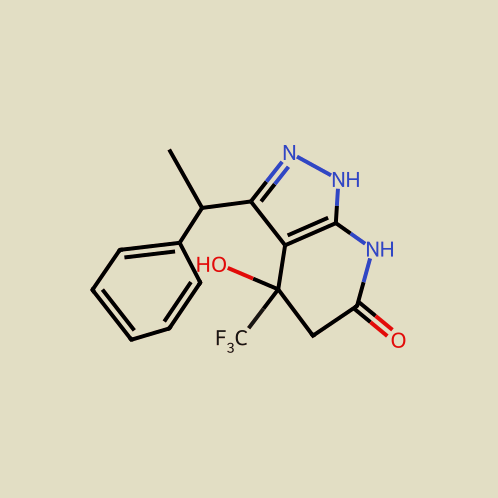 CC(c1ccccc1)c1n[nH]c2c1C(O)(C(F)(F)F)CC(=O)N2